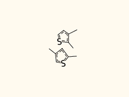 Cc1ccsc1C.Cc1csc(C)c1